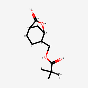 CCC(C)(C)C(=O)OCC1CCC2CC1OC2=O